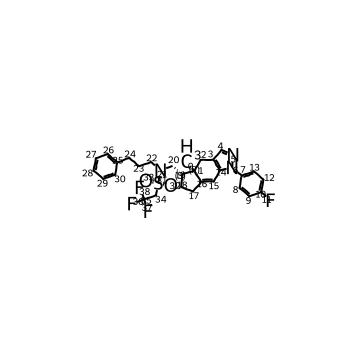 C[C@]12Cc3cnn(-c4ccc(F)cc4)c3C=C1CC[C@@H]2CN(CCCc1ccccc1)S(=O)(=O)CC(F)(F)F